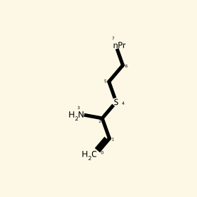 C=CC(N)SCCCCC